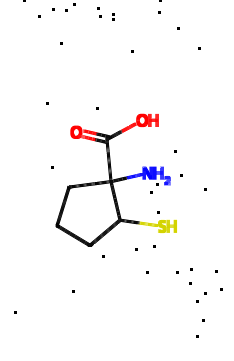 NC1(C(=O)O)CCCC1S